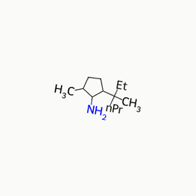 CCCC(C)(CC)C1CCC(C)C1N